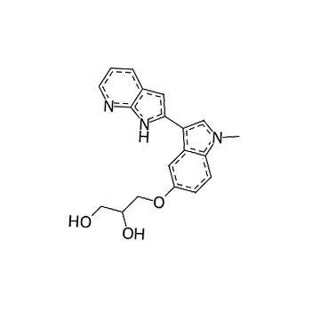 Cn1cc(-c2cc3cccnc3[nH]2)c2cc(OCC(O)CO)ccc21